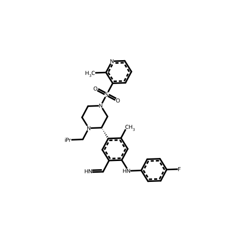 Cc1cc(Nc2ccc(F)cc2)c(C=N)cc1[C@H]1CN(S(=O)(=O)c2cccnc2C)CCN1CC(C)C